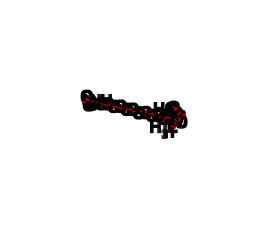 CCCN(OCCNC(=O)OCCOCCOCCOCCOCCOCCOCCOCCOCCOCCOCCNC(=O)CN1C(=O)C=CC1=O)C(=O)C1=Nc2cc(S(=O)(=O)O)ccc2C=CC1